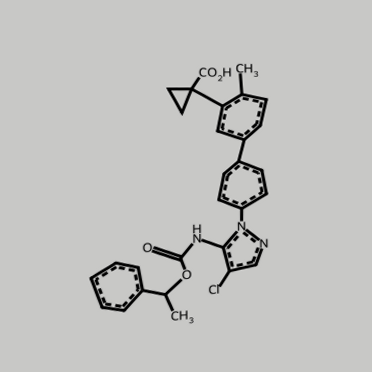 Cc1ccc(-c2ccc(-n3ncc(Cl)c3NC(=O)OC(C)c3ccccc3)cc2)cc1C1(C(=O)O)CC1